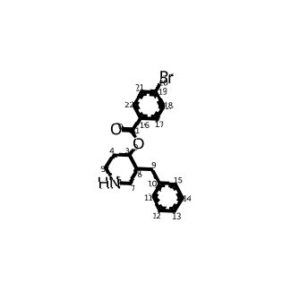 O=C(OC1CCNCC1Cc1ccccc1)c1ccc(Br)cc1